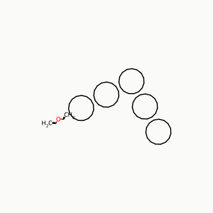 C1CCCCCCCCCCCCCC1.C1CCCCCCCCCCCCCC1.C1CCCCCCCCCCCCCC1.C1CCCCCCCCCCCCCC1.C1CCCCCCCCCCCCCC1.C=COC=C